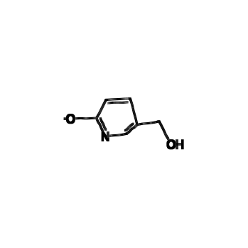 [O]c1ccc(CO)cn1